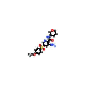 Nc1cc(S(=O)(=O)c2ccc(OC(F)(F)F)cc2)cnc1C(=O)N[C@@H]1CCCOC1